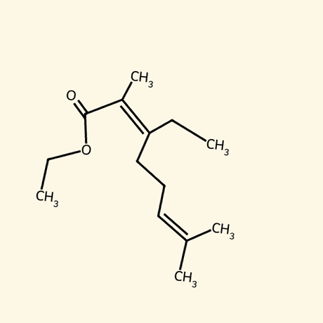 CCOC(=O)C(C)=C(CC)CCC=C(C)C